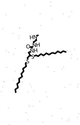 CCCCCCCCCCCCSCC(CNC(=O)NCCNC)SCCCCCCCCCCCC